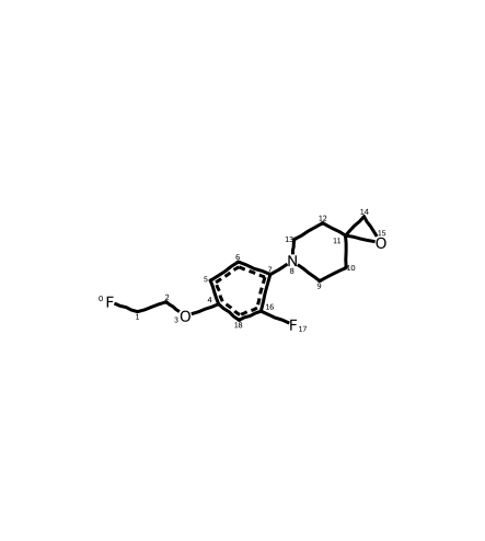 FCCOc1ccc(N2CCC3(CC2)CO3)c(F)c1